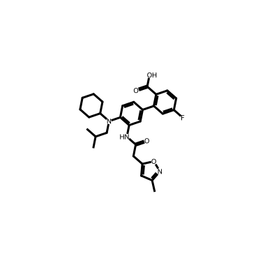 Cc1cc(CC(=O)Nc2cc(-c3cc(F)ccc3C(=O)O)ccc2N(CC(C)C)C2CCCCC2)on1